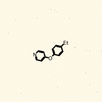 CCc1ccc(Oc2ccncc2)cc1